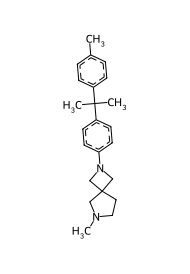 Cc1ccc(C(C)(C)c2ccc(N3CC4(CCN(C)C4)C3)cc2)cc1